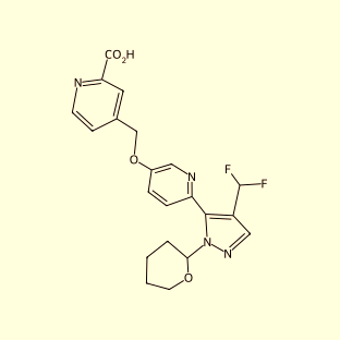 O=C(O)c1cc(COc2ccc(-c3c(C(F)F)cnn3C3CCCCO3)nc2)ccn1